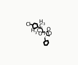 CC(C)(CC(=O)N1C(=O)OC[C@@H]1Cc1ccccc1)c1ccc(Cl)cc1